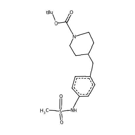 CC(C)(C)OC(=O)N1CCC(Cc2ccc(NS(C)(=O)=O)cc2)CC1